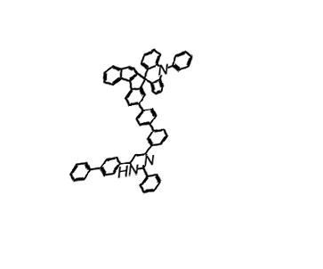 C1=C(c2cccc(-c3ccc(-c4ccc5c(c4)C4(c6ccccc6N(c6ccccc6)c6ccccc64)c4ccc6ccccc6c4-5)cc3)c2)N=C(c2ccccc2)NC1c1ccc(-c2ccccc2)cc1